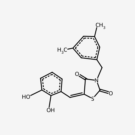 Cc1cc(C)cc(CN2C(=O)SC(=Cc3cccc(O)c3O)C2=O)c1